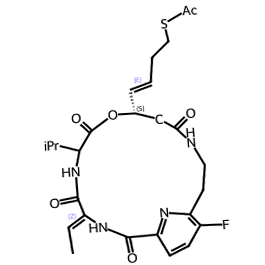 C/C=C1\NC(=O)c2ccc(F)c(n2)CCNC(=O)C[C@@H](/C=C/CCSC(C)=O)OC(=O)C(C(C)C)NC1=O